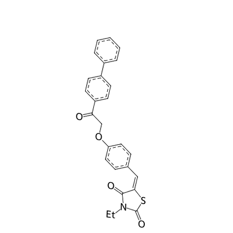 CCN1C(=O)SC(=Cc2ccc(OCC(=O)c3ccc(-c4ccccc4)cc3)cc2)C1=O